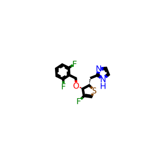 FC1=CS[C@@H](Cc2ncc[nH]2)[C@H]1OCc1c(F)cccc1F